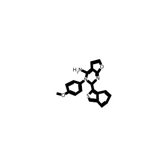 COc1ccc(N2C(N)=c3ccoc3=NC2c2scc3ccccc23)cc1